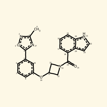 Cc1noc(-c2cccc(OC3CN(C(=O)c4cccc5[nH]ccc45)C3)c2)n1